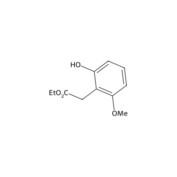 CCOC(=O)Cc1c(O)cccc1OC